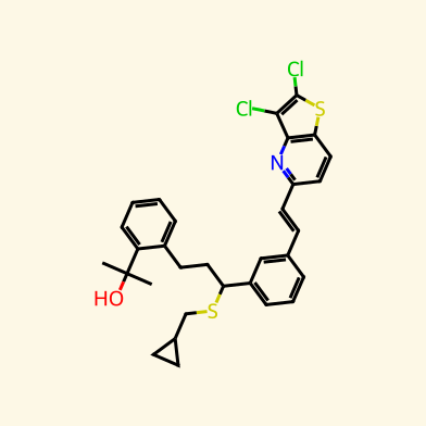 CC(C)(O)c1ccccc1CCC(SCC1CC1)c1cccc(/C=C/c2ccc3sc(Cl)c(Cl)c3n2)c1